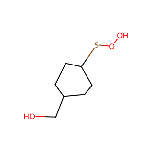 OCC1CCC(SOO)CC1